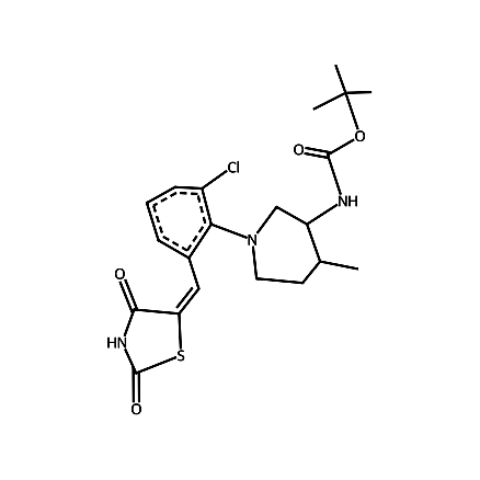 CC1CCN(c2c(Cl)cccc2/C=C2/SC(=O)NC2=O)CC1NC(=O)OC(C)(C)C